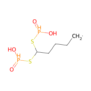 [CH2]CCCC(S[PH](=O)O)S[PH](=O)O